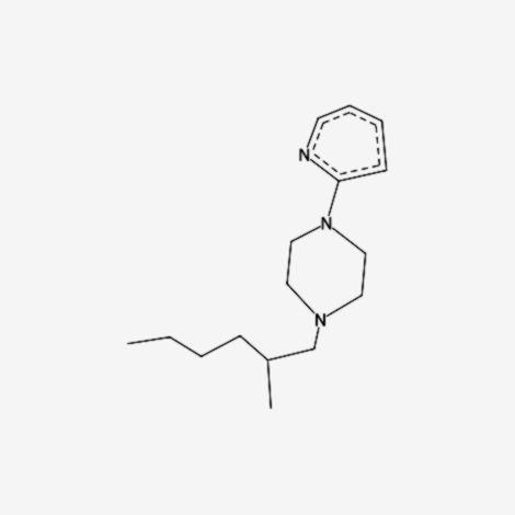 CCCCC(C)CN1CCN(c2ccccn2)CC1